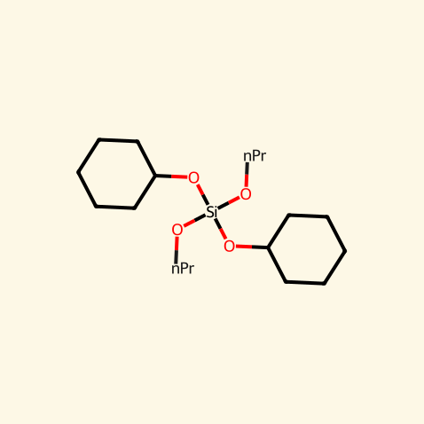 CCCO[Si](OCCC)(OC1CCCCC1)OC1CCCCC1